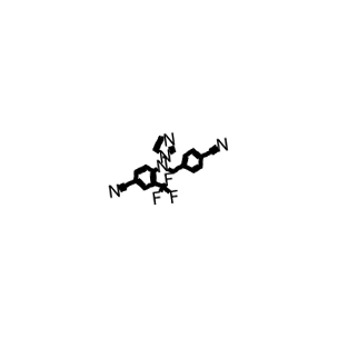 N#Cc1ccc(CN(c2ccc(C#N)cc2C(F)(F)F)n2ccnc2)cc1